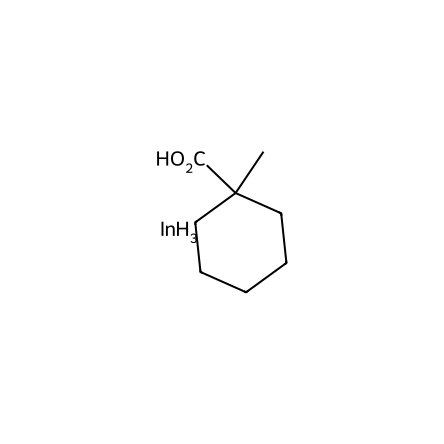 CC1(C(=O)O)CCCCC1.[InH3]